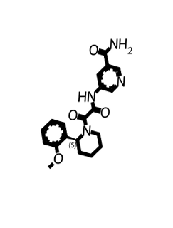 COc1ccccc1[C@@H]1CCCCN1C(=O)C(=O)Nc1cncc(C(N)=O)c1